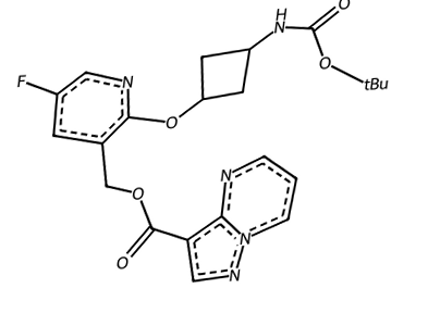 CC(C)(C)OC(=O)NC1CC(Oc2ncc(F)cc2COC(=O)c2cnn3cccnc23)C1